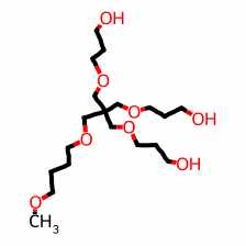 COCCCCOCC(COCCCO)(COCCCO)COCCCO